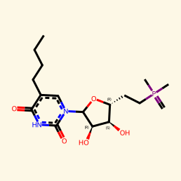 C=P(C)(C)CC[C@H]1OC(n2cc(CCCC)c(=O)[nH]c2=O)[C@H](O)[C@@H]1O